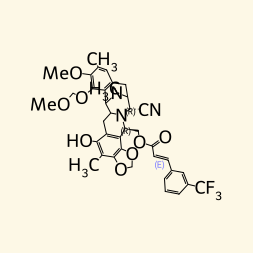 COCOc1c(OC)c(C)cc2c1C1C3Cc4c(O)c(C)c5c(c4[C@H](COC(=O)/C=C/c4cccc(C(F)(F)F)c4)N3[C@@H](C#N)C(C2)N1C)OCO5